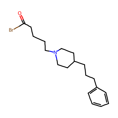 O=C(Br)CCCCN1CCC(CCCc2ccccc2)CC1